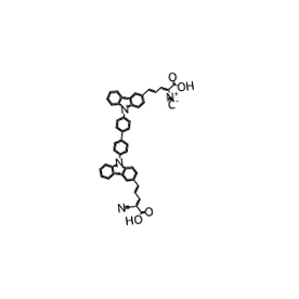 [C-]#[N+]/C(=C\C=C\c1ccc2c(c1)c1ccccc1n2-c1ccc(-c2ccc(-n3c4ccccc4c4cc(/C=C/C=C(\C#N)C(=O)O)ccc43)cc2)cc1)C(=O)O